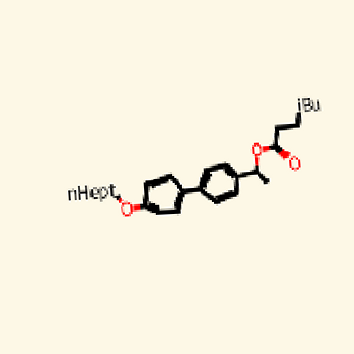 CCCCCCCOc1ccc(-c2ccc(C(C)OC(=O)CCC(C)CC)cc2)cc1